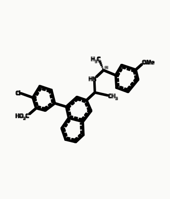 COc1cccc([C@@H](C)NC(C)c2cc(-c3ccc(Cl)c(C(=O)O)c3)c3ccccc3c2)c1